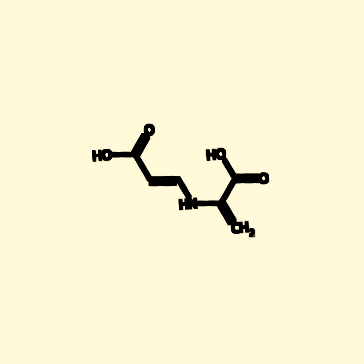 C=C(NC=CC(=O)O)C(=O)O